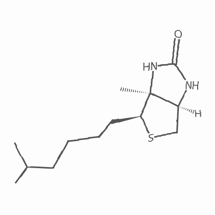 CC(C)CCCC[C@@H]1SC[C@@H]2NC(=O)N[C@@]21C